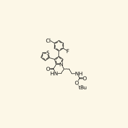 CC(C)(C)OC(=O)NCCC1CNC(=O)c2c(-c3cccs3)c(-c3cc(Cl)ccc3F)cn21